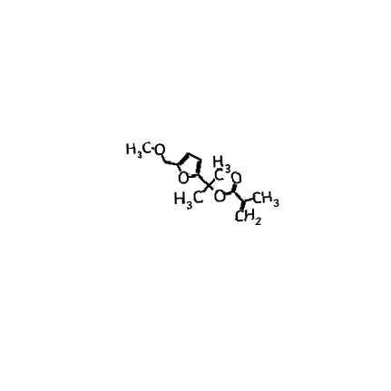 C=C(C)C(=O)OC(C)(C)c1ccc(COC)o1